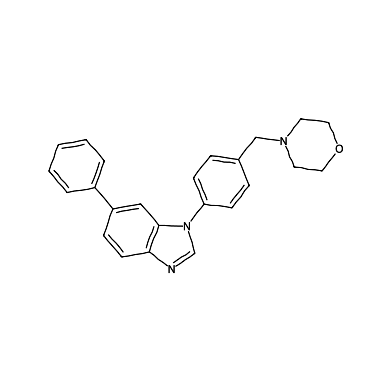 c1ccc(-c2ccc3ncn(-c4ccc(CN5CCOCC5)cc4)c3c2)cc1